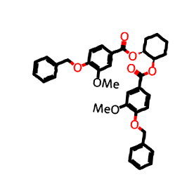 COc1cc(C(=O)O[C@@H]2CCCC[C@H]2OC(=O)c2ccc(OCc3ccccc3)c(OC)c2)ccc1OCc1ccccc1